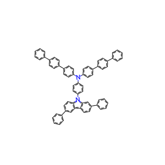 c1ccc(-c2ccc(-c3ccc(N(c4ccc(-c5ccc(-c6ccccc6)cc5)cc4)c4ccc(-n5c6ccc(-c7ccccc7)cc6c6ccc(-c7ccccc7)cc65)cc4)cc3)cc2)cc1